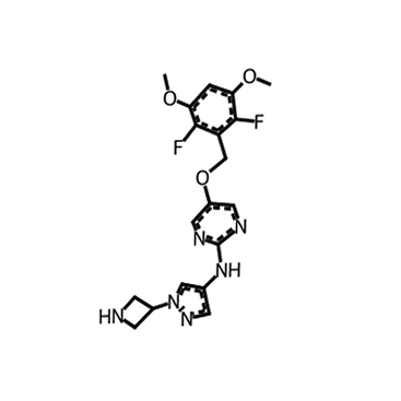 COc1cc(OC)c(F)c(COc2cnc(Nc3cnn(C4CNC4)c3)nc2)c1F